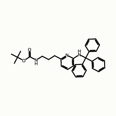 CC(C)(C)OC(=O)NCCCc1cccc(NC(c2ccccc2)(c2ccccc2)c2ccccc2)n1